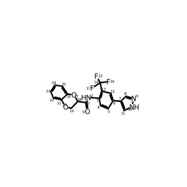 O=C(Nc1ccc(-c2cn[nH]c2)cc1C(F)(F)F)C1COc2ccccc2O1